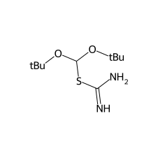 CC(C)(C)OC(OC(C)(C)C)SC(=N)N